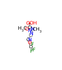 COc1cc(C(=O)O)cc2c1nc(CN1CCC(c3cccc(OCc4ccc(C(F)F)cc4F)n3)CC1)n2C